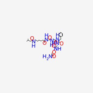 CC(C)CC(=O)NCCCCCC(=O)NCC(=O)NCC(=O)NC(Cc1ccccc1)C(=O)NCC(=O)NCOCC(N)=O